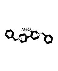 COc1c[n+](Cc2ccccc2)ccc1-c1cc[n+](Cc2ccccc2)cc1